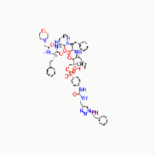 CC(C)C[C@H](NC(=O)[C@H](CCc1ccccc1)NC(=O)CN1CCOCC1)C(=O)N[C@@H](Cc1ccccc1)C(=O)N[C@@H](CC(C)C)C(=O)C(C)(O)COS(=O)(=O)c1ccc(NC(=O)NCc2cn(PCc3ccccc3)nn2)cc1